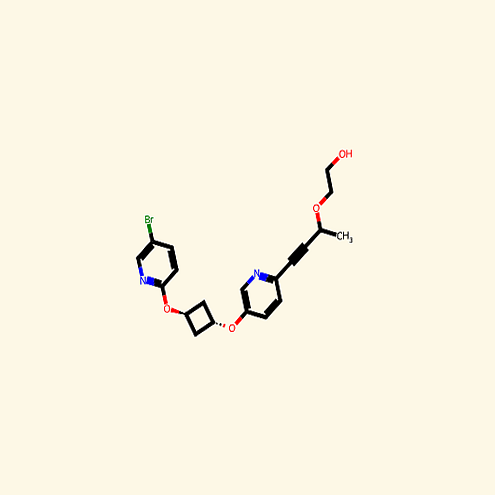 CC(C#Cc1ccc(O[C@H]2C[C@H](Oc3ccc(Br)cn3)C2)cn1)OCCO